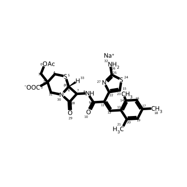 CC(=O)OCC1(C(=O)[O-])CS[C@@H]2C(NC(=O)C(=Cc3c(C)cc(C)cc3C)c3csc(N)n3)C(=O)N2C1.[Na+]